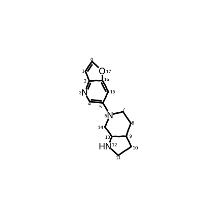 c1cc2ncc(N3CCC4CCNC4C3)cc2o1